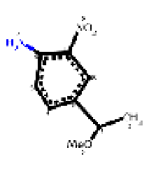 COC(C)c1ccc(N)c([N+](=O)[O-])c1